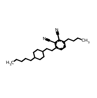 CCCCCC1CCC(CCc2ccc(CCCC)c(C#N)c2C#N)CC1